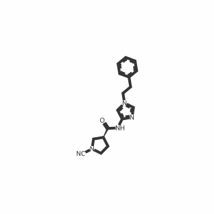 N#CN1CC[C@H](C(=O)Nc2cn(CCc3ccccc3)cn2)C1